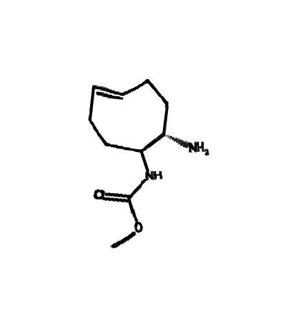 COC(=O)NC1CC/C=C/CC[C@@H]1N